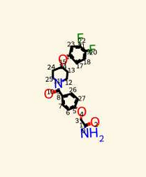 NC(=O)COc1ccc(C(=O)N2CCC(Oc3ccc(F)c(F)c3)CC2)cc1